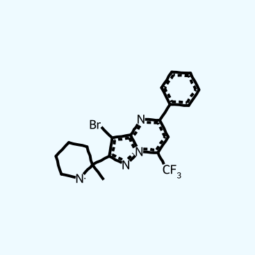 CC1(c2nn3c(C(F)(F)F)cc(-c4ccccc4)nc3c2Br)CCCC[N]1